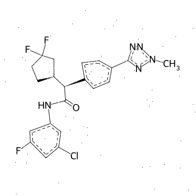 Cn1nnc(-c2ccc([C@@H](C(=O)Nc3cc(F)cc(Cl)c3)[C@H]3CCC(F)(F)C3)cc2)n1